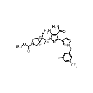 Cc1cc(Cn2cc(-c3nn([C@@H]4C[C@]56CN(C(=O)OC(C)(C)C)CC5[C@H]46)c(N)c3C(N)=O)cn2)cc(C(F)(F)F)c1